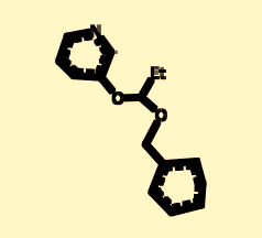 CCC(OCc1ccccc1)Oc1[c]nccc1